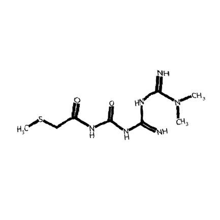 CSCC(=O)NC(=O)NC(=N)NC(=N)N(C)C